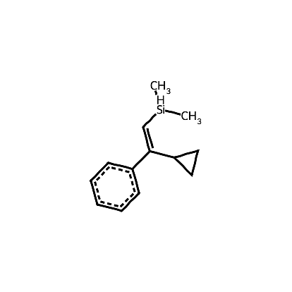 C[SiH](C)C=C(c1ccccc1)C1CC1